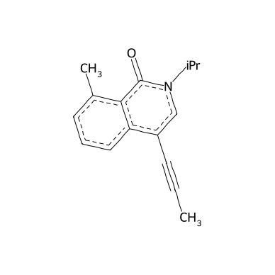 CC#Cc1cn(C(C)C)c(=O)c2c(C)cccc12